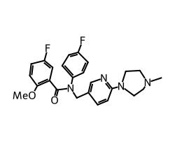 COc1ccc(F)cc1C(=O)N(Cc1ccc(N2CCN(C)CC2)nc1)c1ccc(F)cc1